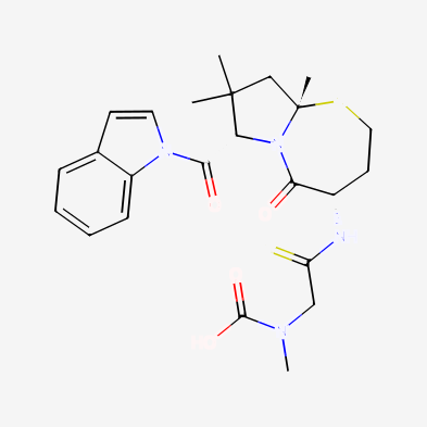 CN(CC(=S)N[C@H]1CCS[C@H]2CC(C)(C)[C@@H](C(=O)n3ccc4ccccc43)N2C1=O)C(=O)O